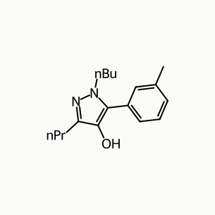 CCCCn1nc(CCC)c(O)c1-c1cccc(C)c1